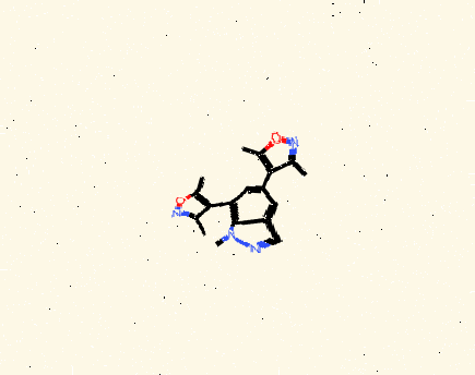 Cc1noc(C)c1-c1cc(-c2c(C)noc2C)c2c(cnn2C)c1